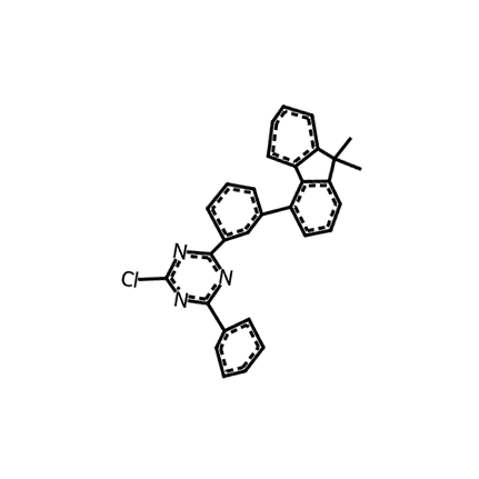 CC1(C)c2ccccc2-c2c(-c3cccc(-c4nc(Cl)nc(-c5ccccc5)n4)c3)cccc21